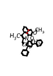 C=C/C(=C(\C)c1ccccc1)N(c1cc(-c2ccccc2)cc(-c2ccccc2)c1)c1cccc(OC)c1OC